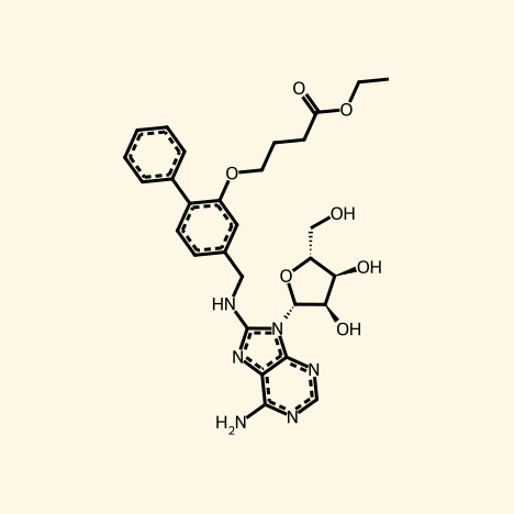 CCOC(=O)CCCOc1cc(CNc2nc3c(N)ncnc3n2[C@@H]2O[C@H](CO)[C@@H](O)[C@H]2O)ccc1-c1ccccc1